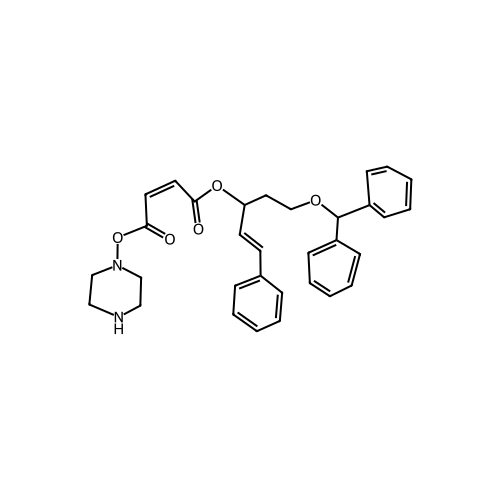 O=C(/C=C\C(=O)ON1CCNCC1)OC(C=Cc1ccccc1)CCOC(c1ccccc1)c1ccccc1